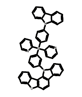 c1ccc([Si](c2ccc(-n3c4ccccc4c4ccccc43)cc2)(c2cccnc2)c2cccc(-n3c4ccccc4c4ccc5oc6ccccc6c5c43)c2)nc1